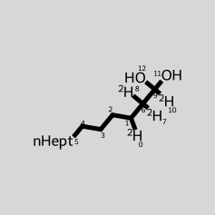 [2H]C(CCCCCCCCCC)C([2H])([2H])C([2H])(O)O